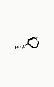 O=C(O)C1=CC=COC=C1